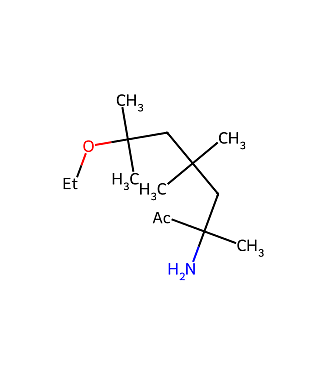 CCOC(C)(C)CC(C)(C)CC(C)(N)C(C)=O